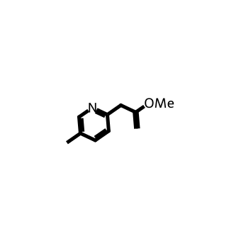 C=C(Cc1ccc(C)cn1)OC